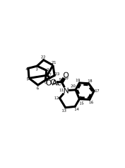 CC(=O)OC12CC3CC(C1)C(OC(=O)N1CCCc4ccccc41)C(C3)C2